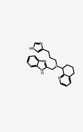 c1cnc2c(c1)CCCC2N(CCCc1c[nH]cn1)Cc1nc2ccccc2[nH]1